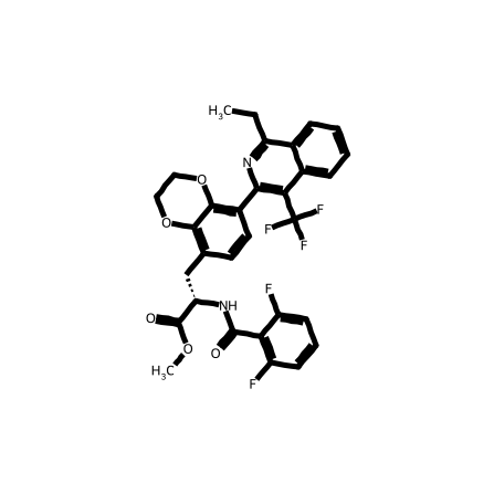 CCc1nc(-c2ccc(C[C@H](NC(=O)c3c(F)cccc3F)C(=O)OC)c3c2OCCO3)c(C(F)(F)F)c2ccccc12